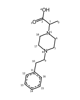 CC(C(=O)O)N1CCN(CCc2ccccc2)CC1